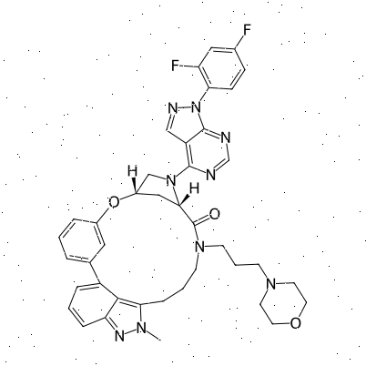 Cn1nc2cccc3c2c1CCCN(CCCN1CCOCC1)C(=O)[C@@H]1C[C@@H](CN1c1ncnc2c1cnn2-c1ccc(F)cc1F)Oc1cccc-3c1